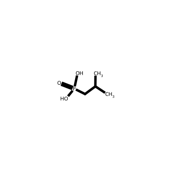 CC(C)[CH]P(=O)(O)O